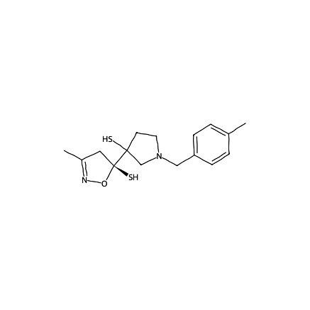 CC1=NO[C@@](S)(C2(S)CCN(Cc3ccc(C)cc3)C2)C1